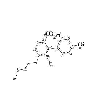 CC=CCCc1ccc(C(=O)O)c(-c2ccc(C#N)cc2)c1F